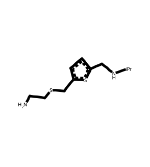 CC(C)NCc1ccc(CSCCN)s1